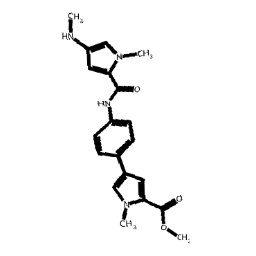 CNc1cc(C(=O)Nc2ccc(-c3cc(C(=O)OC)n(C)c3)cc2)n(C)c1